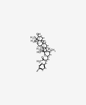 CC(=O)N(Cc1ccc(F)cc1)CC1C[C@@H](C)[C@H]2C(O1)[C@H](O)[C@@]1(C)C3CC[C@H]4C(C)(C)C(O)CCC45CC35CCC21C